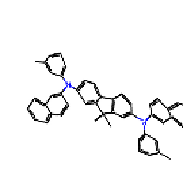 Cc1cccc(N(c2ccc3c(c2)C(C)(C)c2cc(N(c4cccc(C)c4)c4ccc5ccccc5c4)ccc2-3)c2ccc3ccccc3c2)c1